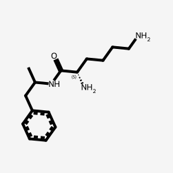 CC(Cc1ccccc1)NC(=O)[C@@H](N)CCCCN